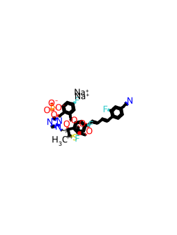 C[C@@H](SC1COC(C=CC=Cc2ccc(C#N)cc2F)OC1)[C@@](Cn1cncn1)(OC(=O)c1cc(F)ccc1COP(=O)([O-])[O-])c1ccc(F)cc1F.[Na+].[Na+]